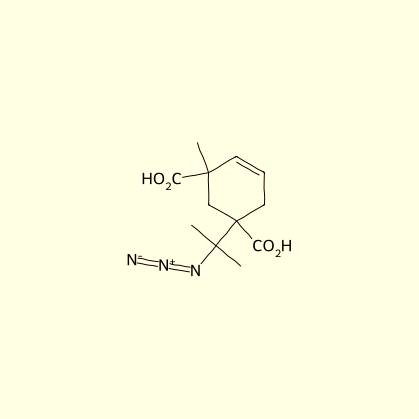 CC1(C(=O)O)C=CCC(C(=O)O)(C(C)(C)N=[N+]=[N-])C1